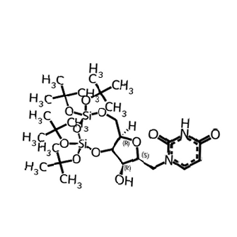 CC(C)(C)O[Si]1(OC(C)(C)C)OC[C@H]2O[C@@H](Cn3ccc(=O)[nH]c3=O)[C@@H](O)C2O[Si](OC(C)(C)C)(OC(C)(C)C)O1